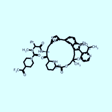 CCn1c(-c2cccnc2[C@H](C)OC)c2c3cc(ccc31)-c1csc(n1)C[C@H](NC(=O)C(C(C)C)N(C)C(=O)N1CCC(C(=O)C(F)(F)F)CC1)C(=O)C1CCC[C@H](N1)C(=O)OCC(C)(C)C2